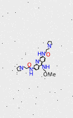 COCCNc1c2ccc(NC(=O)CCN3CCCC3)cc2nc2cc(NC(=O)CCN3CCCC3)ccc12